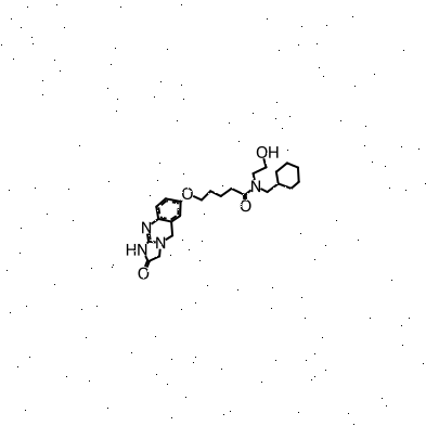 O=C1CN2Cc3cc(OCCCCC(=O)N(CCO)CC4CCCCC4)ccc3N=C2N1